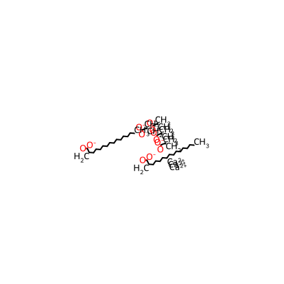 C=C(C)C(=O)[O-].C=C(C)C(=O)[O-].C=C(C)C(=O)[O-].C=C(C)C(=O)[O-].C=C(CCCCCCCCCCCCCC)C(=O)[O-].C=C(CCCCCCCCCCCCCC)C(=O)[O-].[Ca+2].[Ca+2].[Ca+2]